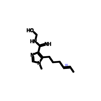 C/C=C/CCCc1c(C(=N)NCO)ncn1C